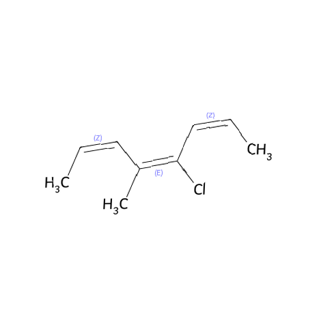 C\C=C/C(C)=C(Cl)\C=C/C